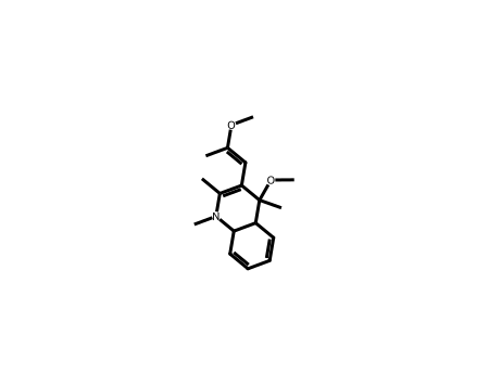 CO/C(C)=C/C1=C(C)N(C)C2C=CC=CC2C1(C)OC